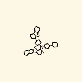 c1ccc(-c2ccc(N(c3ccc(-c4cccc5c4sc4ccccc45)cc3)c3nccc4c3sc3cc5ccccc5cc34)cc2)cc1